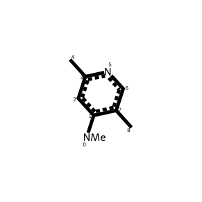 CNc1cc(C)ncc1C